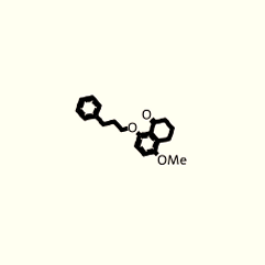 COc1ccc(OCCCc2ccccc2)c2c1CCCC2=O